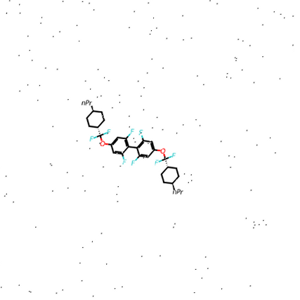 CCC[C@H]1CC[C@H](C(F)(F)Oc2cc(F)c(-c3c(F)cc(OC(F)(F)[C@H]4CC[C@H](CCC)CC4)cc3F)c(F)c2)CC1